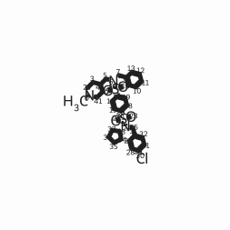 CN1CCC(CN(Cc2ccccc2)S(=O)(=O)c2ccc(S(=O)(=O)N(Cc3ccc(Cl)cc3)C3CCCC3)cc2)CC1